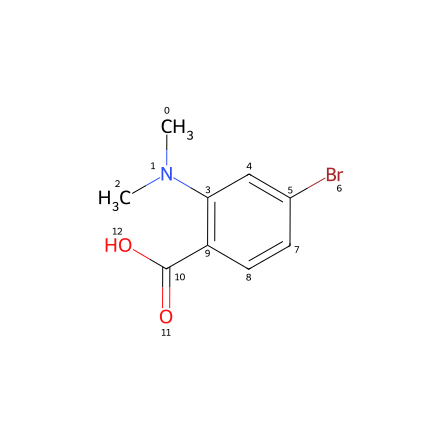 CN(C)c1cc(Br)ccc1C(=O)O